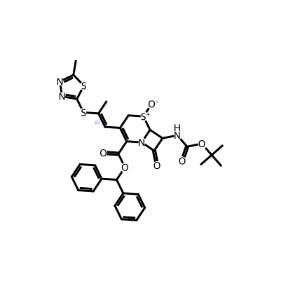 C/C(=C\C1=C(C(=O)OC(c2ccccc2)c2ccccc2)N2C(=O)C(NC(=O)OC(C)(C)C)C2[S+]([O-])C1)Sc1nnc(C)s1